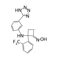 ON=C1[CH]CC1(Nc1cccc(-c2nnn[nH]2)c1)c1ccccc1C(F)(F)F